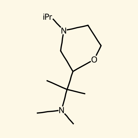 CC(C)N1CCOC(C(C)(C)N(C)C)C1